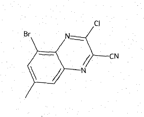 Cc1cc(Br)c2nc(Cl)c(C#N)nc2c1